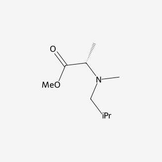 COC(=O)[C@H](C)N(C)CC(C)C